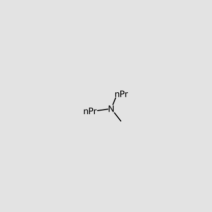 [CH2]CCN(C)CC[CH2]